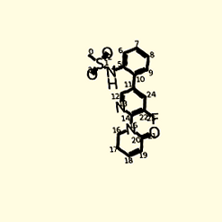 CS(=O)(=O)Nc1ccccc1-c1cnc(N2CCC=CC2=O)c(F)c1